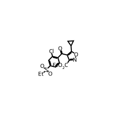 CCOC(=O)c1noc(C2CC2)c1C(=O)c1ccc(S(=O)(=O)CC)cc1Cl